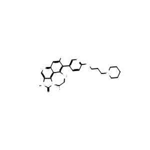 C[C@@H]1CNc2c(-c3ccc(OCCCN4CCCCC4)nc3)c(F)cc3ncc4c(c23)n1c(=O)n4C